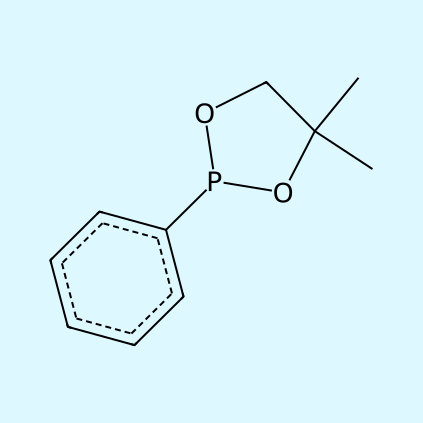 CC1(C)COP(c2ccccc2)O1